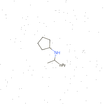 CCCC(C)N[C]1CCCC1